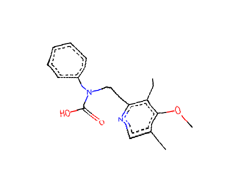 COc1c(C)cnc(CN(C(=O)O)c2ccccc2)c1C